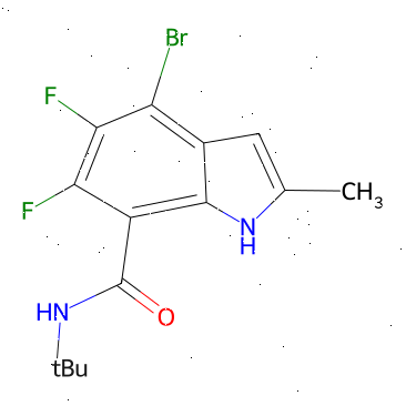 Cc1cc2c(Br)c(F)c(F)c(C(=O)NC(C)(C)C)c2[nH]1